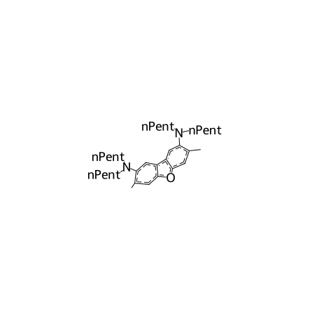 CCCCCN(CCCCC)c1cc2c(cc1C)oc1cc(C)c(N(CCCCC)CCCCC)cc12